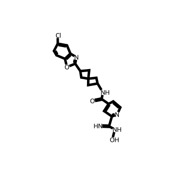 N=C(NO)c1cc(C(=O)NC2CC3(C2)CC(c2nc4cc(Cl)ccc4o2)C3)ccn1